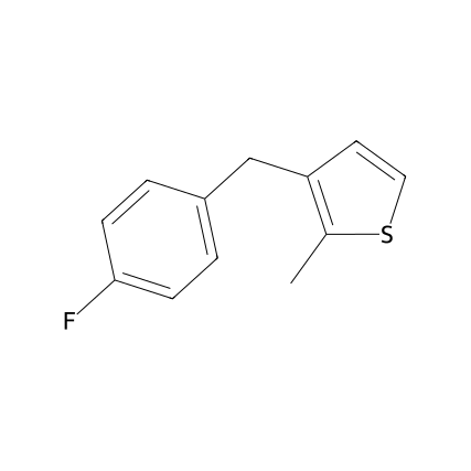 Cc1sccc1Cc1ccc(F)cc1